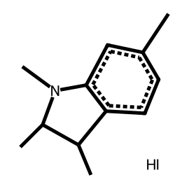 Cc1ccc2c(c1)N(C)C(C)C2C.I